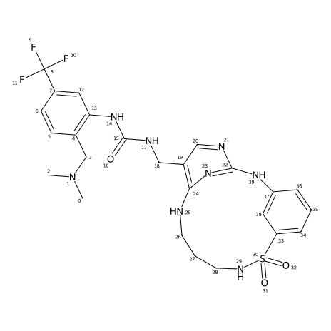 CN(C)Cc1ccc(C(F)(F)F)cc1NC(=O)NCc1cnc2nc1NCCCNS(=O)(=O)c1cccc(c1)N2